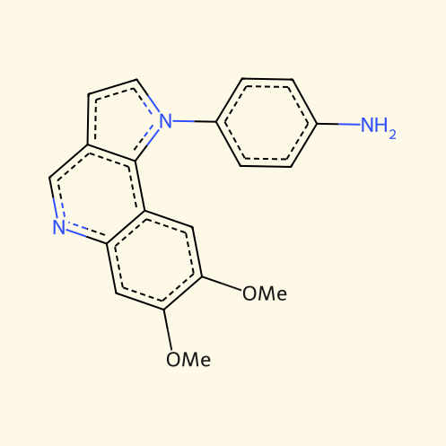 COc1cc2ncc3ccn(-c4ccc(N)cc4)c3c2cc1OC